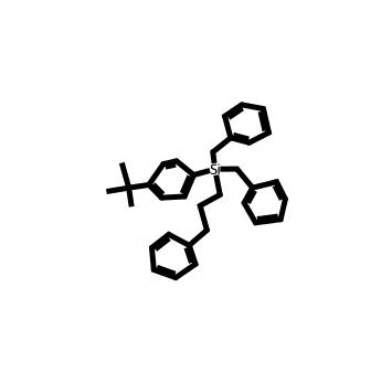 CC(C)(C)c1ccc([Si](CCCc2ccccc2)(Cc2ccccc2)Cc2ccccc2)cc1